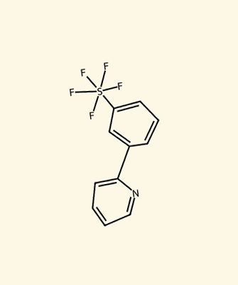 FS(F)(F)(F)(F)c1cccc(-c2ccccn2)c1